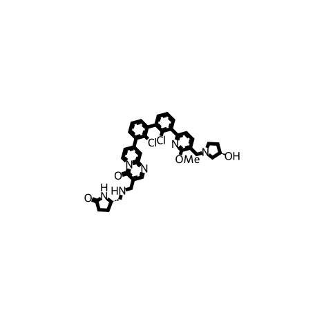 COc1nc(-c2cccc(-c3cccc(-c4ccn5c(=O)c(CNC[C@@H]6CCC(=O)N6)cnc5c4)c3Cl)c2Cl)ccc1CN1CC[C@H](O)C1